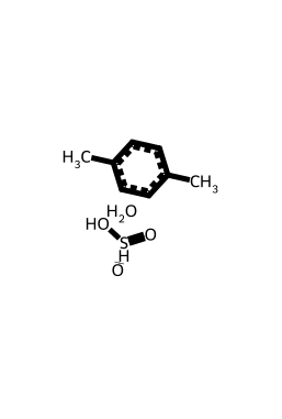 Cc1ccc(C)cc1.O.O=[SH](=O)O